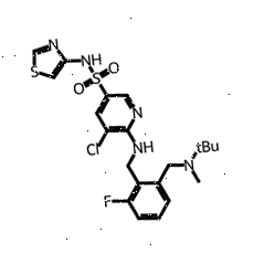 CN(Cc1cccc(F)c1CNc1ncc(S(=O)(=O)Nc2cscn2)cc1Cl)C(C)(C)C